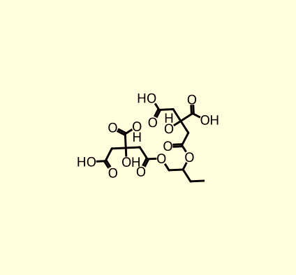 CCC(COC(=O)CC(O)(CC(=O)O)C(=O)O)OC(=O)CC(O)(CC(=O)O)C(=O)O